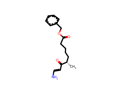 C[C@@H](CCCCC(=O)OCc1ccccc1)C(=O)/C=C/N